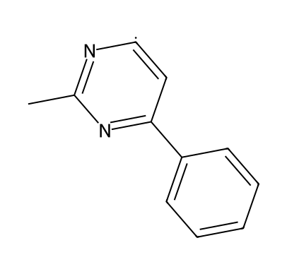 Cc1n[c]cc(-c2ccccc2)n1